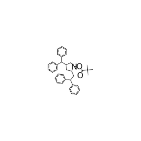 CC(C)(C)C(=O)ON1CC(C(c2ccccc2)c2ccccc2)CC1CC(c1ccccc1)c1ccccc1